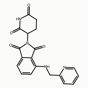 O=C1CCC(N2C(=O)c3cccc(NCc4ccccn4)c3C2=O)C(=O)N1